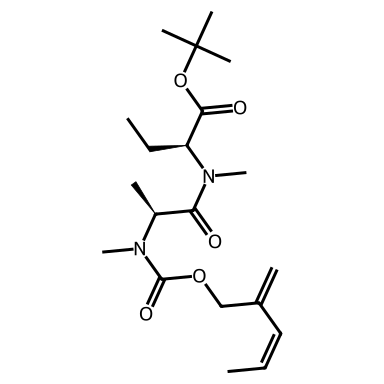 C=C(/C=C\C)COC(=O)N(C)[C@@H](C)C(=O)N(C)[C@@H](CC)C(=O)OC(C)(C)C